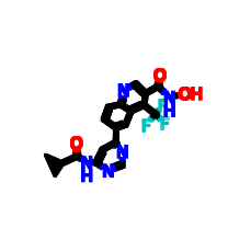 O=C(NO)c1cnc2ccc(-c3cc(NC(=O)C4CC4)ncn3)cc2c1C(F)(F)F